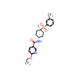 O=C(N[C@H]1CC[C@](F)(S(=O)(=O)c2cccc(C(F)(F)F)c2)CC1)c1ccc(OCC(F)(F)F)nc1